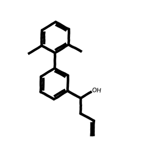 C=CCC(O)c1cccc(-c2c(C)cccc2C)c1